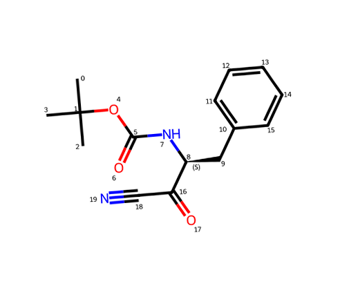 CC(C)(C)OC(=O)N[C@@H](Cc1ccccc1)C(=O)C#N